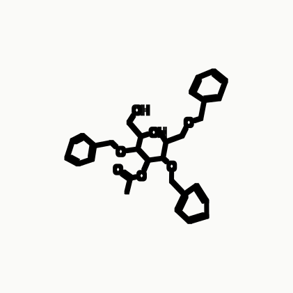 CC(=O)OC(C(OCc1ccccc1)C(C)COCc1ccccc1)C(OCc1ccccc1)C(O)CO